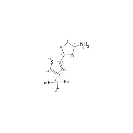 NC1CCC(c2nc(C(F)(F)F)cs2)C1